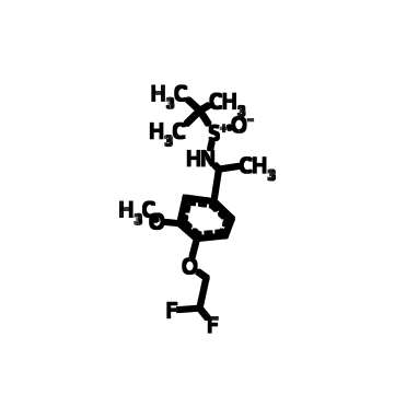 COc1cc(C(C)N[S+]([O-])C(C)(C)C)ccc1OCC(F)F